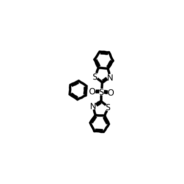 O=S(=O)(c1nc2ccccc2s1)c1nc2ccccc2s1.c1ccccc1